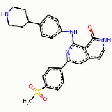 CS(=O)(=O)c1ccc(-c2cc3cc[nH]c(=O)c3c(Nc3ccc(C4CCNCC4)cc3)n2)cc1